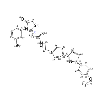 CC(C)c1cccc(N2C(=O)CS/C2=N\C(=S)NCCc2ccc(-c3ncn(-c4ccc(OC(F)(F)F)cc4)n3)cc2)c1